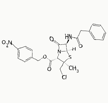 C[C@@]1(CCl)S[C@@H]2[C@H](NC(=O)Cc3ccccc3)C(=O)N2[C@H]1C(=O)OCc1ccc([N+](=O)[O-])cc1